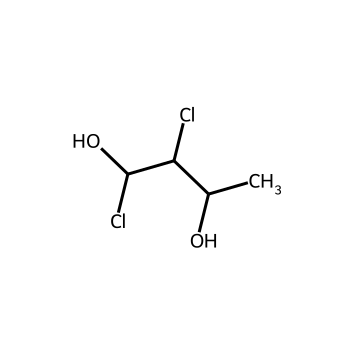 CC(O)C(Cl)C(O)Cl